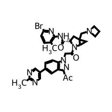 CC(=O)c1nn(CC(=O)N2C3CC3(CN3CCC3)C[C@H]2C(=O)Nc2nc(Br)ccc2C)c2ccc(-c3cnc(C)nc3)cc12